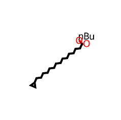 CCCCOC(=O)CCCCCCCCCCCCCCC1CC1